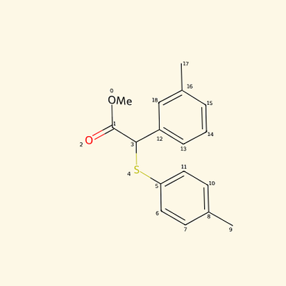 COC(=O)C(Sc1ccc(C)cc1)c1cccc(C)c1